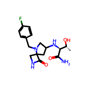 C[C@@H](O)[C@H](NC1CN(Cc2ccc(F)cc2)C2(CNC2=O)C1)C(N)=O